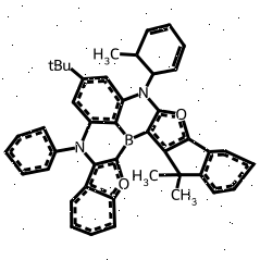 CC1C=CC=CC1N1c2cc(C(C)(C)C)cc3c2B(c2oc4ccccc4c2N3c2ccccc2)c2c1oc1c2C(C)(C)c2ccccc2-1